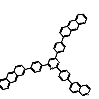 c1ccc2cc3cc(-c4ccc(-c5cc(-c6ccc(-c7ccc8cc9ccccc9cc8c7)cc6)nc(-c6ccc(-c7ccc8cnccc8c7)cc6)n5)cc4)ccc3cc2c1